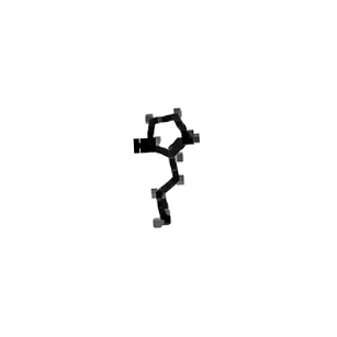 S=CCC1=NCCN1